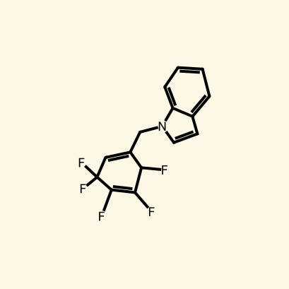 FC1=C(F)C(F)(F)C=C(Cn2ccc3ccccc32)C1F